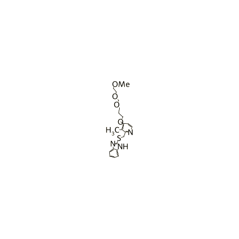 COCCOCOCCCOc1ccnc(CSc2nc3ccccc3[nH]2)c1C